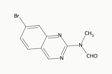 CN(C=O)c1ncc2ccc(Br)cc2n1